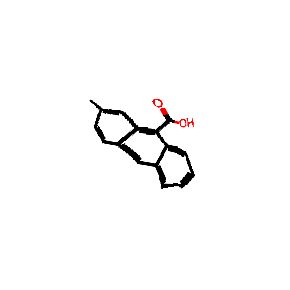 Cc1ccc2cc3ccccc3c(C(=O)O)c2c1